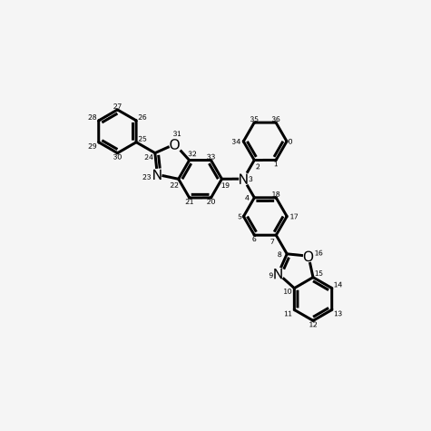 C1=CC(N(c2ccc(-c3nc4ccccc4o3)cc2)c2ccc3nc(-c4ccccc4)oc3c2)=CCC1